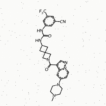 CN1CCN(c2ccn3ncc(C(=O)N4CC5(CC(NC(=O)Nc6cc(C#N)cc(C(F)(F)F)c6)C5)C4)c3c2)CC1